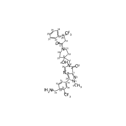 Cn1nc2c(=O)n(CC3(O)CCN(C(=O)C[C@H](c4ccccc4)C(F)(F)F)CC3)cnc2c1-c1ccc(CN)c(C(F)(F)F)c1